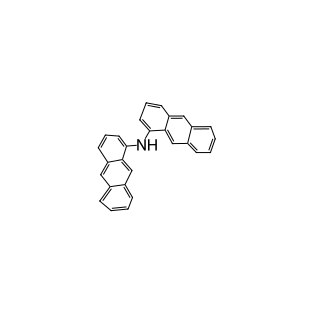 c1ccc2cc3c(Nc4cccc5cc6ccccc6cc45)cccc3cc2c1